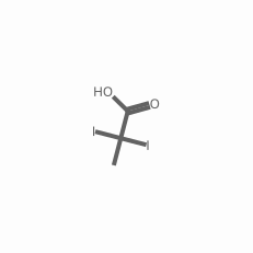 CC(I)(I)C(=O)O